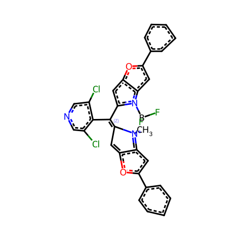 C[N+]1=c2cc(-c3ccccc3)oc2=C/C1=C(\c1c(Cl)cncc1Cl)c1cc2oc(-c3ccccc3)cc2n1B(F)F